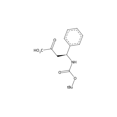 CC(C)(C)OC(=O)N[C@@H](CC(=O)C(=O)O)c1ccccc1